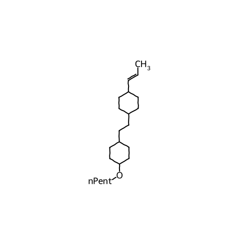 C/C=C/C1CCC(CCC2CCC(OCCCCC)CC2)CC1